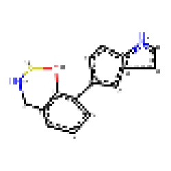 c1cc2c(c(-c3ccc4[nH]ccc4c3)c1)OSNC2